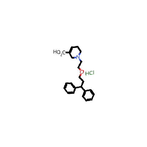 Cl.O=C(O)C1=CCCN(CCOCCC(c2ccccc2)c2ccccc2)C1